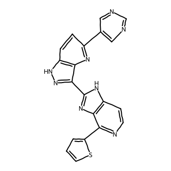 c1csc(-c2nccc3[nH]c(-c4n[nH]c5ccc(-c6cncnc6)nc45)nc23)c1